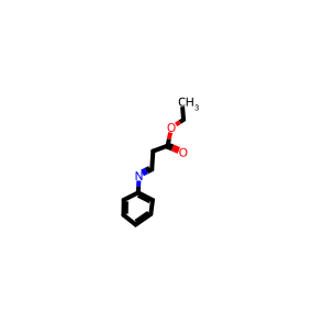 CCOC(=O)CC=Nc1ccccc1